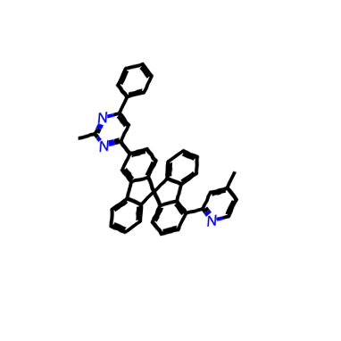 Cc1ccnc(-c2cccc3c2-c2ccccc2C32c3ccccc3-c3cc(-c4cc(-c5ccccc5)nc(C)n4)ccc32)c1